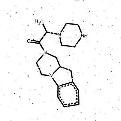 CC(C(=O)N1CCN2c3ccccc3CC2C1)N1CCNCC1